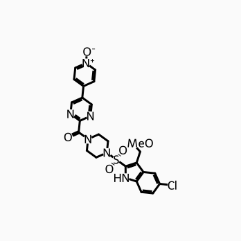 COCc1c(S(=O)(=O)N2CCN(C(=O)c3ncc(-c4cc[n+]([O-])cc4)cn3)CC2)[nH]c2ccc(Cl)cc12